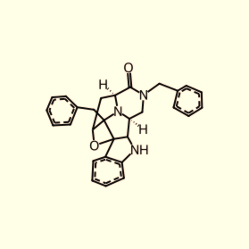 O=C1[C@@H]2CC3OC45c6ccccc6NC4[C@H](CN1Cc1ccccc1)N2C35Cc1ccccc1